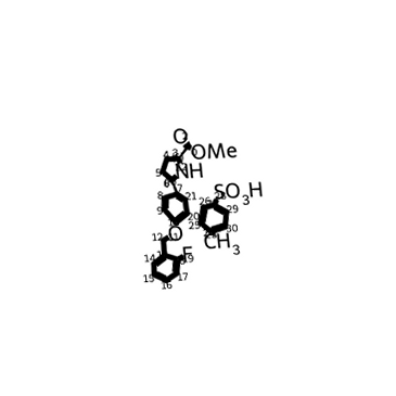 COC(=O)[C@@H]1CC[C@H](c2ccc(OCc3ccccc3F)cc2)N1.Cc1ccc(S(=O)(=O)O)cc1